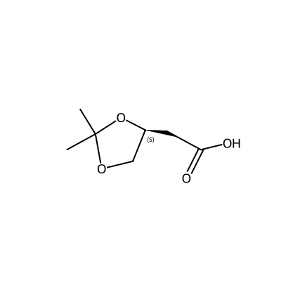 CC1(C)OC[C@H](CC(=O)O)O1